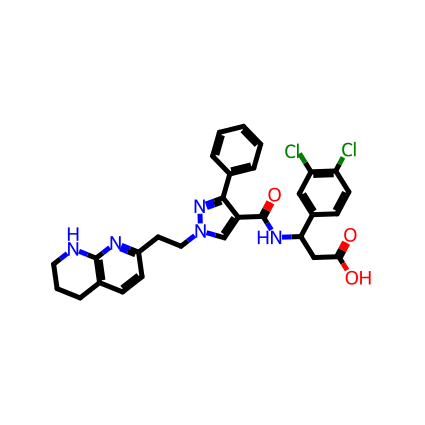 O=C(O)CC(NC(=O)c1cn(CCc2ccc3c(n2)NCCC3)nc1-c1ccccc1)c1ccc(Cl)c(Cl)c1